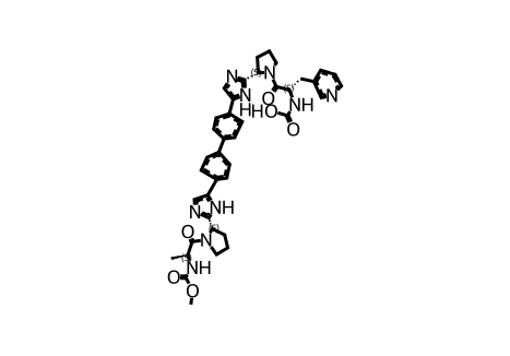 COC(=O)N[C@@H](C)C(=O)N1CCC[C@H]1c1ncc(-c2ccc(-c3ccc(-c4cnc([C@@H]5CCCN5C(=O)[C@H](Cc5cccnc5)NC(=O)O)[nH]4)cc3)cc2)[nH]1